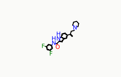 C=C(CCN1CCCCC1)c1ccc2[nH]c(C(=O)Nc3cc(F)cc(F)c3)cc2c1